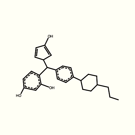 CCCC1CCC(c2ccc(C(c3ccc(O)cc3O)C3C=CC(O)=C3)cc2)CC1